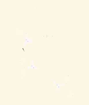 O=Cc1cc(Cl)sc1C(=O)NC[C@H]1CN(c2ccc(N3CCOCC3=O)cc2)C(=O)O1